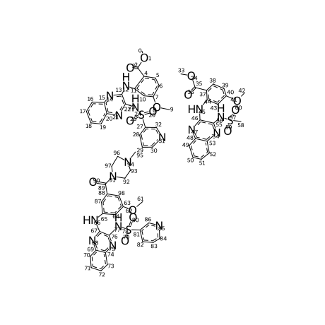 COC(=O)c1ccc(OC)cc1Nc1nc2ccccc2nc1NS(=O)(=O)c1cccnc1.COC(=O)c1ccc(OC)cc1Nc1nc2ccccc2nc1NS(C)(=O)=O.COc1cc(Nc2nc3ccccc3nc2NS(=O)(=O)c2cccnc2)cc(C(=O)N2CCN(C)CC2)c1